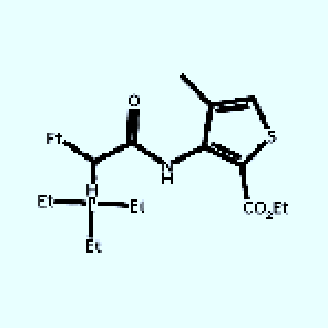 CCOC(=O)c1scc(C)c1NC(=O)C(CC)[PH](CC)(CC)CC